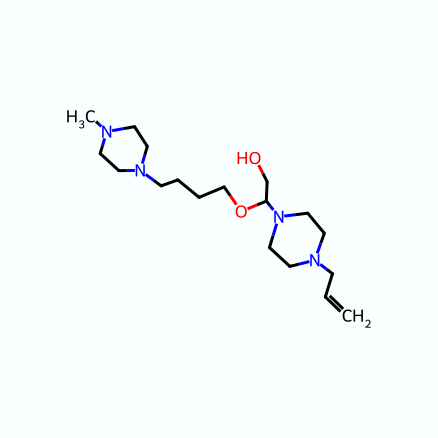 C=CCN1CCN(C(CO)OCCCCN2CCN(C)CC2)CC1